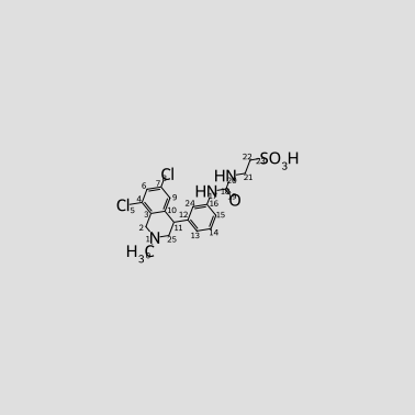 CN1Cc2c(Cl)cc(Cl)cc2C(c2cccc(NC(=O)NCCS(=O)(=O)O)c2)C1